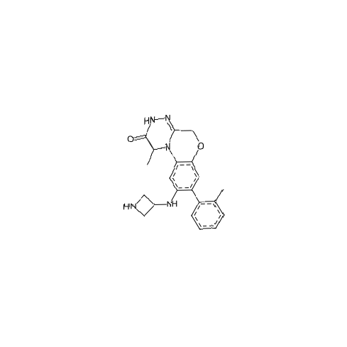 Cc1ccccc1-c1cc2c(cc1NC1CNC1)N1C(=NNC(=O)C1C)CO2